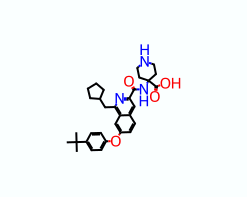 CC(C)(C)c1ccc(Oc2ccc3cc(C(=O)NC4(C(=O)O)CCNCC4)nc(CC4CCCC4)c3c2)cc1